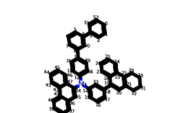 c1ccc(-c2cccc(-c3ccc(N(c4cccc(-c5cc6c(c7ccccc57)CCCC6)c4)c4cc5ccccc5c5ccccc45)cc3)c2)cc1